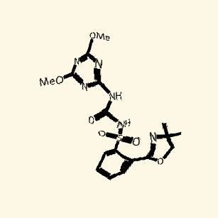 COc1nc(NC(=O)NS(=O)(=O)c2ccccc2C2=NC(C)(C)CO2)nc(OC)n1